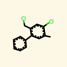 Cc1cc(-c2ccccc2)c(CCl)cc1Cl